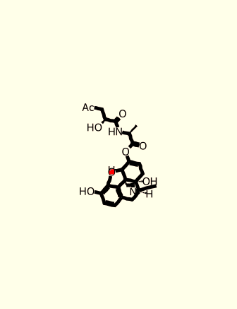 CC(=O)C[C@H](O)C(=O)N[C@@H](C)C(=O)OC1=CC[C@@]2(O)[C@H]3Cc4ccc(O)c5c4[C@@]2(CCN3C)[C@H]1O5